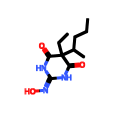 CCCC(C)C1(CC)C(=O)NC(=NO)NC1=O